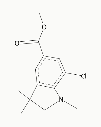 COC(=O)c1cc(Cl)c2c(c1)C(C)(C)CN2C